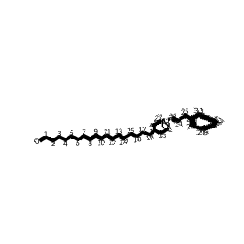 CCCCCCCCCCCCCCCCCCCc1cc[n+](CCCc2ccccc2)cc1